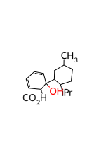 CC1CCC(C(C)C)C(C2(O)C=CC=CC2C(=O)O)C1